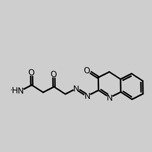 [NH]C(=O)CC(=O)CN=NC1=Nc2ccccc2CC1=O